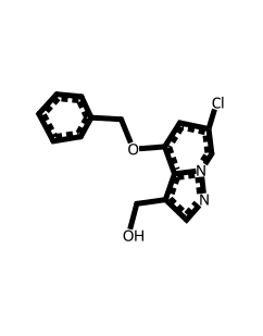 OCc1cnn2cc(Cl)cc(OCc3ccccc3)c12